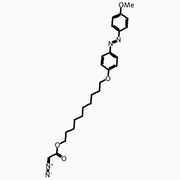 COc1ccc(N=Nc2ccc(OCCCCCCCCCCOC(=O)C=[N+]=[N-])cc2)cc1